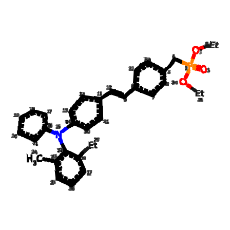 CCOP(=O)(Cc1ccc(C=Cc2ccc(N(c3ccccc3)c3c(C)cccc3CC)cc2)cc1)OCC